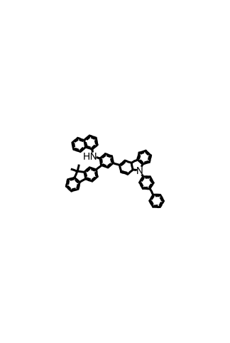 CC1(C)c2ccccc2-c2ccc(-c3cc(C4=CC5c6ccccc6N(c6ccc(-c7ccccc7)cc6)C5C=C4)ccc3Nc3cccc4ccccc34)cc21